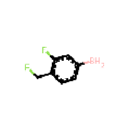 Bc1ccc(CF)c(F)c1